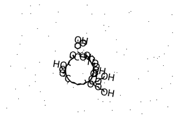 CO[C@@H]1C[C@H](C[C@@H](C)[C@@H]2CC(=O)[C@H](C)/C=C(\C)[C@@H](O)[C@@H](OC)C(=O)[C@H](C)C[C@H](C)/C=C/C=C/C=C(\C)C(OC(COCCO)COCCO)C[C@@H]3CC[C@@H](C)[C@@](O)(O3)C(=O)C(=O)N3CCCC[C@H]3C(=O)O2)CC[C@H]1O